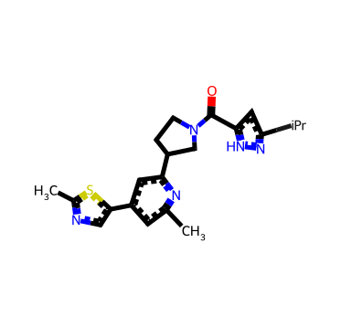 Cc1cc(-c2cnc(C)s2)cc(C2CCN(C(=O)c3cc(C(C)C)n[nH]3)C2)n1